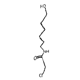 O=C(CCl)NCCCCCCO